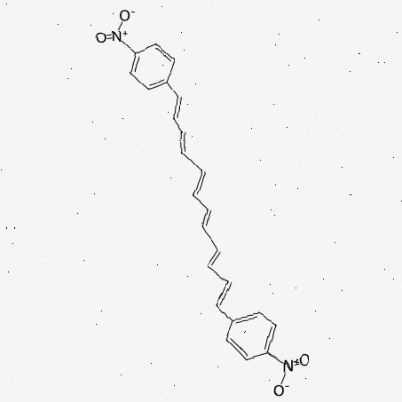 O=[N+]([O-])c1ccc(C=CC=CC=CC=CC=CC=Cc2ccc([N+](=O)[O-])cc2)cc1